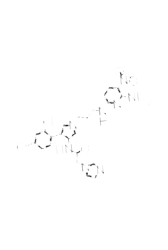 Nc1nc(NCCCn2cc(NC(=O)Cn3ccnc3)c(-c3ccc(Cl)cc3Cl)c2)ccc1[N+](=O)[O-]